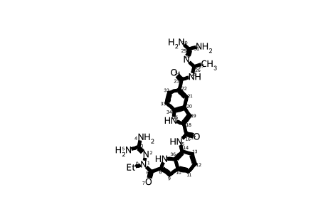 CCN(N=C(N)N)C(=O)c1cc2cccc(NC(=O)c3cc4cc(C(=O)NC(C)N=C(N)N)ccc4[nH]3)c2[nH]1